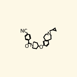 N#Cc1ccc(C(=O)N2CCC(Oc3ccc4c(c3)CCN(CC3CC3)CC4)CC2)cc1